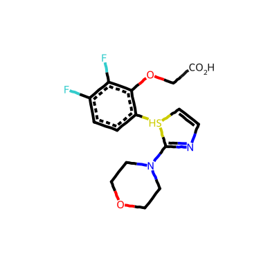 O=C(O)COc1c([SH]2C=CN=C2N2CCOCC2)ccc(F)c1F